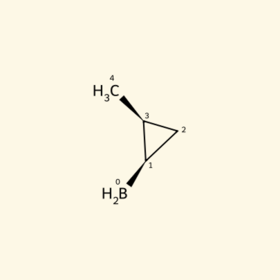 B[C@@H]1C[C@@H]1C